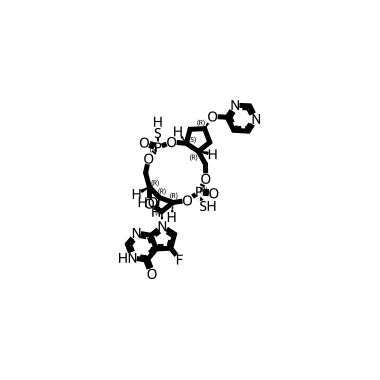 O=c1[nH]cnc2c1c(F)cn2[C@@H]1O[C@@H]2CO[P@](=O)(S)O[C@H]3C[C@H](Oc4ccncn4)C[C@@H]3CO[P@@](=O)(S)O[C@@H]1[C@@H]2O